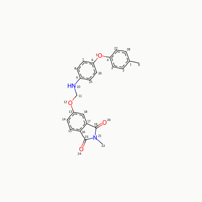 Cc1ccc(Oc2ccc(NCOc3ccc4c(c3)C(=O)N(C)C4=O)cc2)cc1